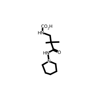 CC(C)(CNC(=O)O)C(=O)NN1CCCCC1